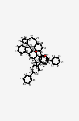 CC1(C)c2ccccc2-c2cc3c(cc21)-c1ccccc1C31c2ccccc2C=Cc2ccc(-c3cc(-c4cnc(-c5ccccc5)nc4)nc(-c4ccccc4)n3)cc21